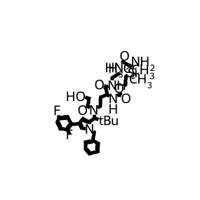 CC(C)(C)C(c1cc(-c2cc(F)ccc2F)cn1Cc1ccccc1)N(CCC(NC(=O)OCC[Si](C)(C)C)C(=O)NCCNC(=O)CN)C(=O)CO